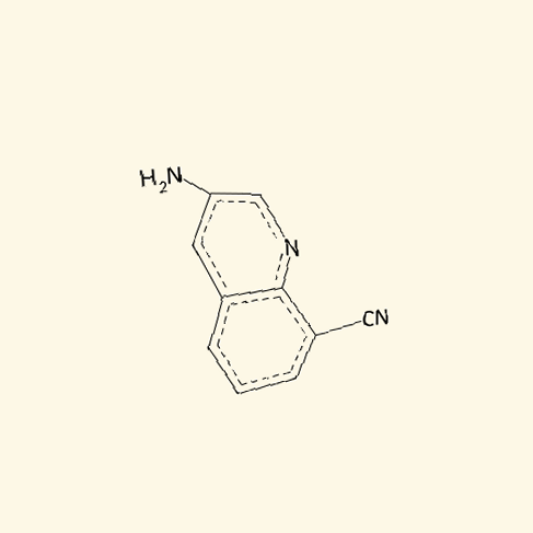 N#Cc1cccc2cc(N)cnc12